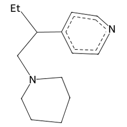 CCC(CN1CCCCC1)c1ccncc1